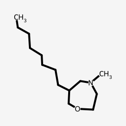 CCCCCCCCC1COCCN(C)C1